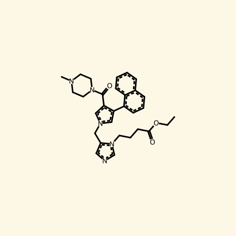 CCOC(=O)CCCn1cncc1Cn1cc(C(=O)N2CCN(C)CC2)c(-c2cccc3ccccc23)c1